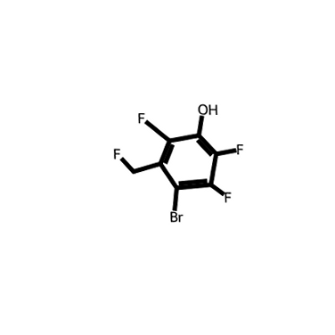 Oc1c(F)c(F)c(Br)c(CF)c1F